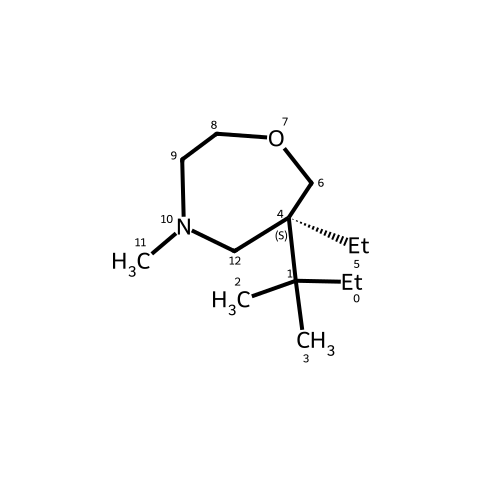 CCC(C)(C)[C@]1(CC)COCCN(C)C1